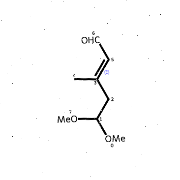 COC(C/C(C)=C/C=O)OC